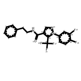 O=C(NCCc1ccccc1)c1cnn(-c2ccc(F)c(F)c2)c1C(F)(F)F